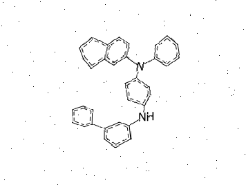 c1ccc(-c2cccc(Nc3ccc(N(c4ccccc4)c4ccc5ccccc5c4)cc3)c2)cc1